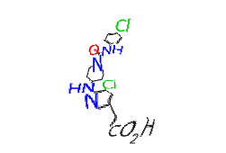 O=C(O)/C=C/c1cnc(NC2CCN(C(=O)Nc3ccc(Cl)cc3)CC2)c(Cl)c1